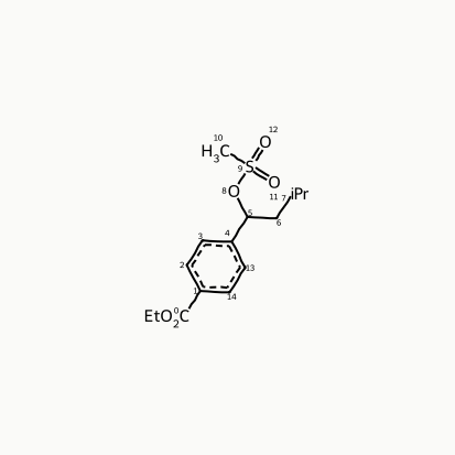 CCOC(=O)c1ccc(C(CC(C)C)OS(C)(=O)=O)cc1